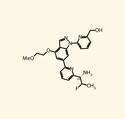 COCCOc1cc(-c2cccc([C@H](N)C(C)F)n2)cc2c1cnn2-c1cccc(CO)n1